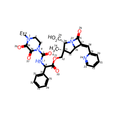 CCN1CCN(C(=O)NC(C(=O)OC[C@]2(C)CC3/C(=C\c4ccccn4)C(=O)N3[C@H]2C(=O)O)c2ccccc2)C(=O)C1=O